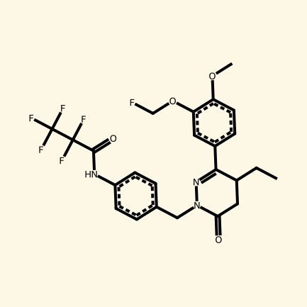 CCC1CC(=O)N(Cc2ccc(NC(=O)C(F)(F)C(F)(F)F)cc2)N=C1c1ccc(OC)c(OCF)c1